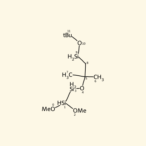 CO[SiH](OC)[SiH2]OC(C)(C)C[SiH2]OC(C)(C)C